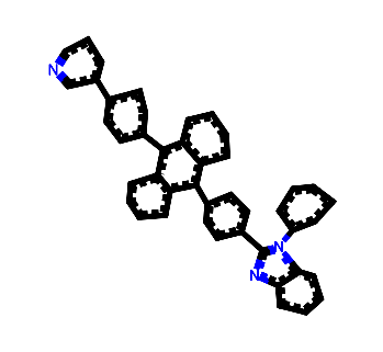 c1ccc(-n2c(-c3ccc(-c4c5ccccc5c(-c5ccc(-c6cccnc6)cc5)c5ccccc45)cc3)nc3ccccc32)cc1